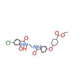 CCOC(=O)[C@H]1CC[C@@H](Oc2ccc(C(=O)NCCNC(=O)c3ccc(Cl)cc3O)cc2)CC1